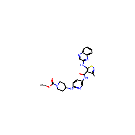 Cc1nsc(Nc2cnc3ccccc3n2)c1C(=O)Nc1ccc(NC2CCN(C(=O)OC(C)(C)C)CC2)nc1